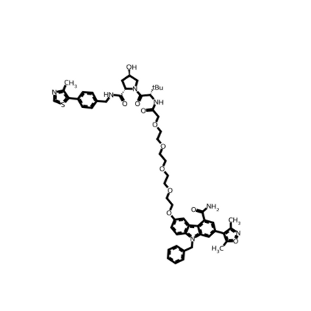 Cc1ncsc1-c1ccc(CNC(=O)[C@@H]2C[C@@H](O)CN2C(=O)[C@@H](NC(=O)COCCOCCOCCOCCOc2ccc3c(c2)c2c(C(N)=O)cc(-c4c(C)noc4C)cc2n3Cc2ccccc2)C(C)(C)C)cc1